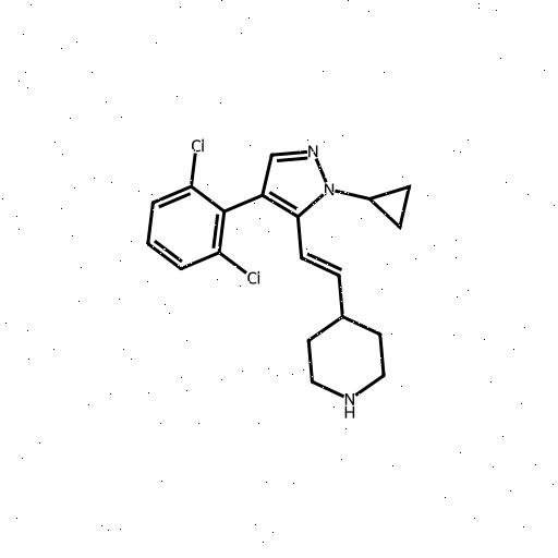 Clc1cccc(Cl)c1-c1cnn(C2CC2)c1/C=C/C1CCNCC1